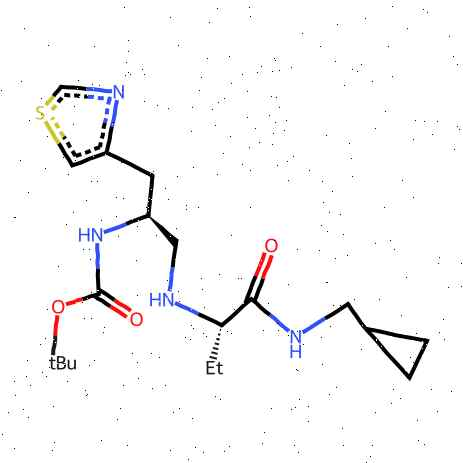 CC[C@H](NC[C@H](Cc1cscn1)NC(=O)OC(C)(C)C)C(=O)NCC1CC1